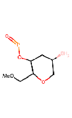 B[C@H]1COC(COC)C(OP=O)C1